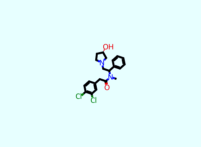 CN(C(=O)Cc1ccc(Cl)c(Cl)c1)C(CN1CC[C@H](O)C1)c1ccccc1